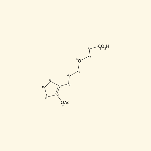 CC(=O)OC1=C(CCCOCCC(=O)O)CCC1